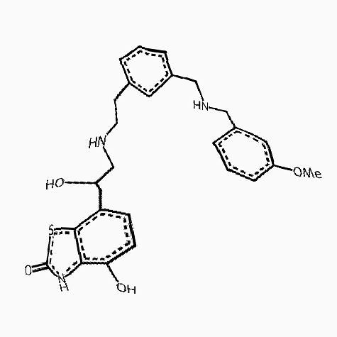 COc1cccc(CNCc2cccc(CCNCC(O)c3ccc(O)c4[nH]c(=O)sc34)c2)c1